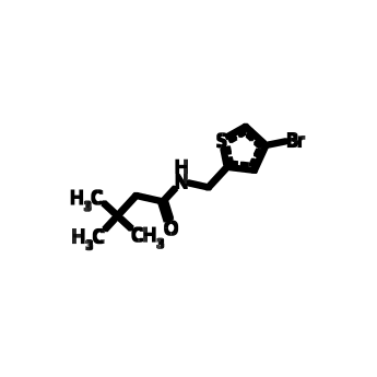 CC(C)(C)CC(=O)NCc1cc(Br)cs1